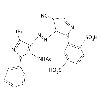 CC(=O)Nc1c(/N=N/C2C(C#N)C=NN2c2cc(S(=O)(=O)O)ccc2S(=O)(=O)O)c(C(C)(C)C)nn1-c1ccccc1